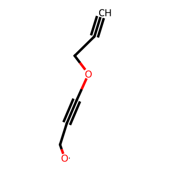 C#CCOC#CC[O]